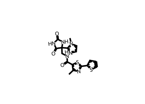 Cc1nc(-c2cc#cs2)sc1C(=O)NCC1(c2nccn2C)NC(=O)NC1=O